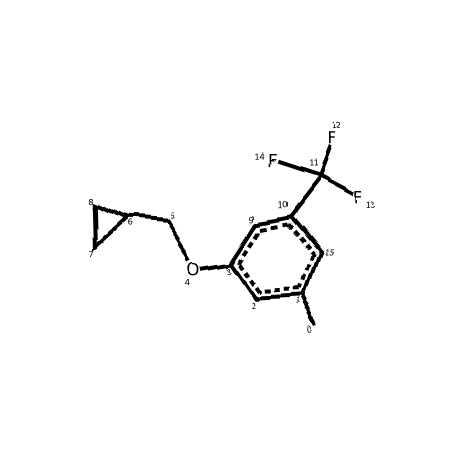 Cc1cc(OCC2CC2)cc(C(F)(F)F)c1